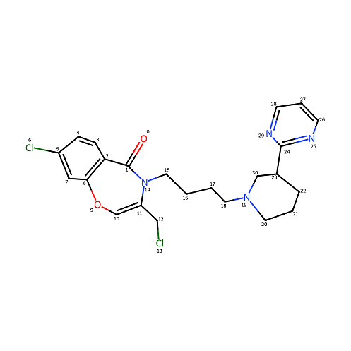 O=C1c2ccc(Cl)cc2OC=C(CCl)N1CCCCN1CCCC(c2ncccn2)C1